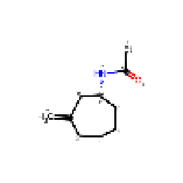 C=C1CCCC[C@@H](NC(=O)CC)C1